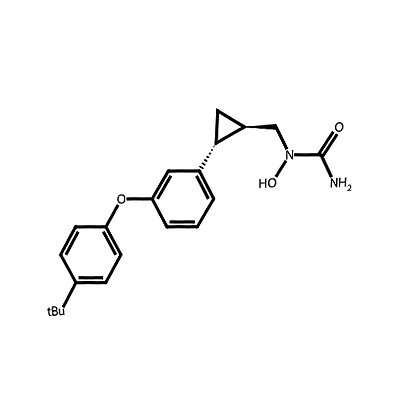 CC(C)(C)c1ccc(Oc2cccc([C@@H]3C[C@H]3CN(O)C(N)=O)c2)cc1